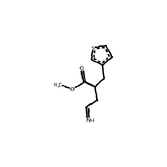 COC(=O)C(CC=N)Cc1ccsc1